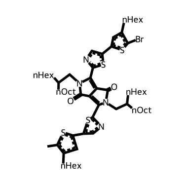 CCCCCCCCC(CCCCCC)CN1C(=O)C2=C(c3ncc(-c4cc(CCCCCC)c(Br)s4)s3)N(CC(CCCCCC)CCCCCCCC)C(=O)C2=C1c1ncc(-c2cc(CCCCCC)c(C)s2)s1